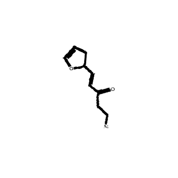 CC(=O)CCC(=O)/C=C/C1CC=CO1